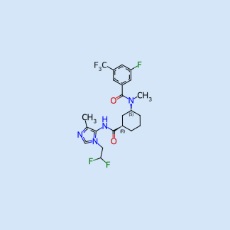 Cc1ncn(CC(F)F)c1NC(=O)[C@@H]1CCC[C@H](N(C)C(=O)c2cc(F)cc(C(F)(F)F)c2)C1